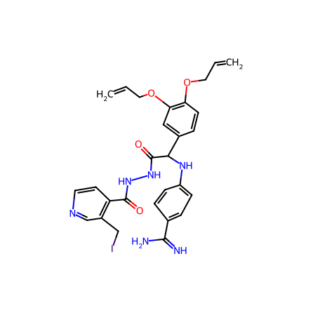 C=CCOc1ccc(C(Nc2ccc(C(=N)N)cc2)C(=O)NNC(=O)c2ccncc2CI)cc1OCC=C